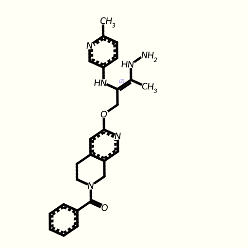 C/C(NN)=C(\COc1cc2c(cn1)CN(C(=O)c1ccccc1)CC2)Nc1ccc(C)nc1